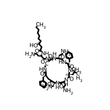 CCCCCCC[C@@H](O)CC(=O)N[C@H](CCN)C(=O)N[C@H]1CCNC(=O)[C@H](Cc2ccccc2)CC(=O)[C@H](CN)NC(=O)[C@H](CCN)NC(=O)[C@H](CC(C)C)NC(=O)[C@@H](Cc2ccccc2)NC(=O)[C@H](CCN)NC1=O